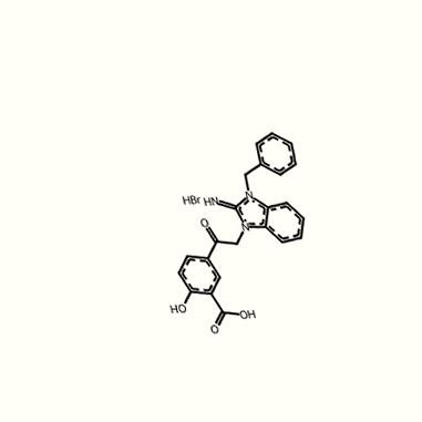 Br.N=c1n(CC(=O)c2ccc(O)c(C(=O)O)c2)c2ccccc2n1Cc1ccccc1